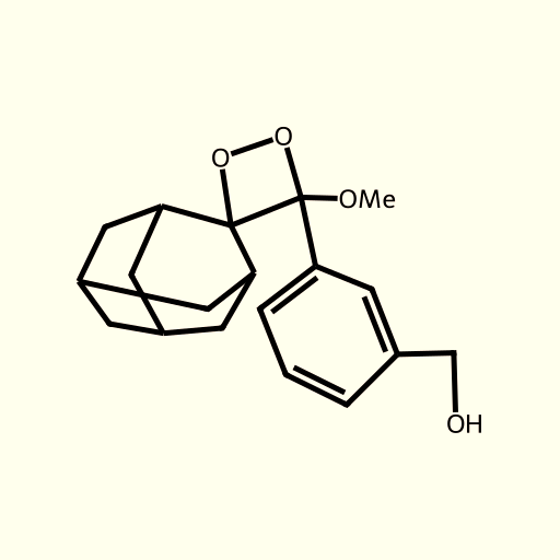 COC1(c2cccc(CO)c2)OOC12C1CC3CC(C1)CC2C3